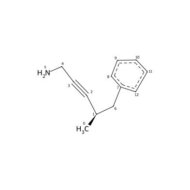 C[C@@H](C#CCN)Cc1ccccc1